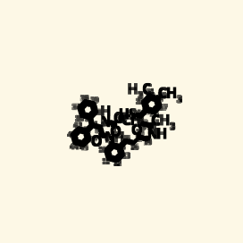 COC(=O)N[C@H](C(=O)Nc1ccccc1CC[C@@H]1CN[C@H](C)[C@@H](C(S)c2ccc(C)c(C)c2)O1)C(c1ccccc1)c1ccccc1